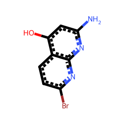 Nc1cc(O)c2ccc(Br)nc2n1